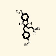 CCOc1ccc(CC2(CCN(CC)CC)Nc3ccc([N+](=O)[O-])cc3N2)cc1